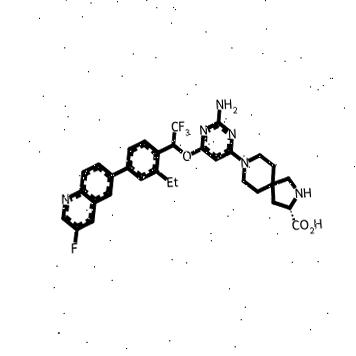 CCc1cc(-c2ccc3ncc(F)cc3c2)ccc1C(Oc1cc(N2CCC3(CC2)CN[C@H](C(=O)O)C3)nc(N)n1)C(F)(F)F